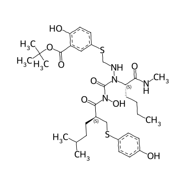 CCCC[C@@H](C(=O)NC)N(NCSc1ccc(O)c(C(=O)OC(C)(C)C)c1)C(=O)N(O)C(=O)[C@H](CCC(C)C)CSc1ccc(O)cc1